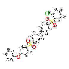 O=S(=O)(c1ccc(Oc2ccccc2)cc1)c1ccc(-c2ccc(S(=O)(=O)c3ccccc3Cl)cc2)cc1